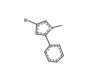 Cn1cc(Br)cc1-c1ccccc1